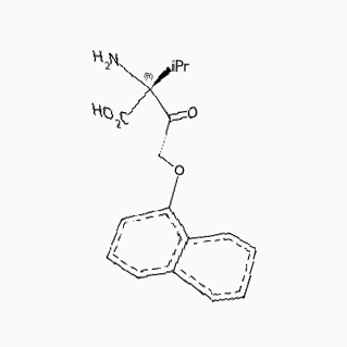 CC(C)[C@](N)(C(=O)O)C(=O)COc1cccc2ccccc12